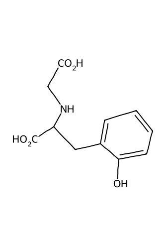 O=C(O)CNC(Cc1ccccc1O)C(=O)O